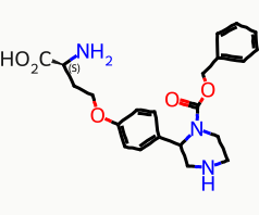 N[C@@H](CCOc1ccc(C2CNCCN2C(=O)OCc2ccccc2)cc1)C(=O)O